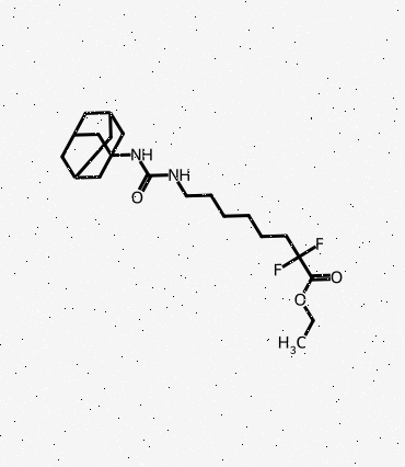 CCOC(=O)C(F)(F)CCCCCCNC(=O)NC12CC3CC(CC(C3)C1)C2